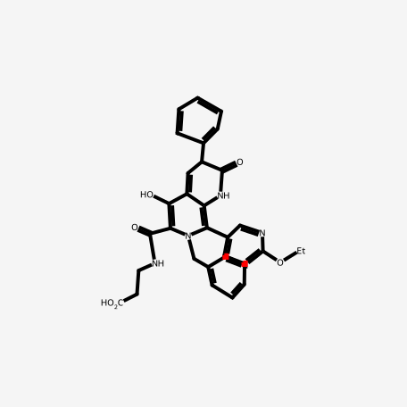 CCOc1ncc(C2=C3NC(=O)C(c4ccccc4)C=C3C(O)=C(C(=O)NCCC(=O)O)N2Cc2ccccc2)cn1